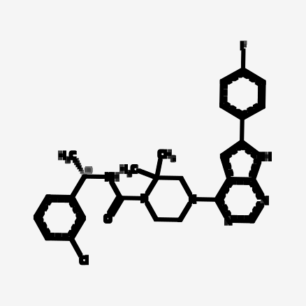 C[C@H](NC(=O)N1CCN(c2ncnc3[nH]c(-c4ccc(F)cc4)cc23)CC1(C)C)c1cccc(Cl)c1